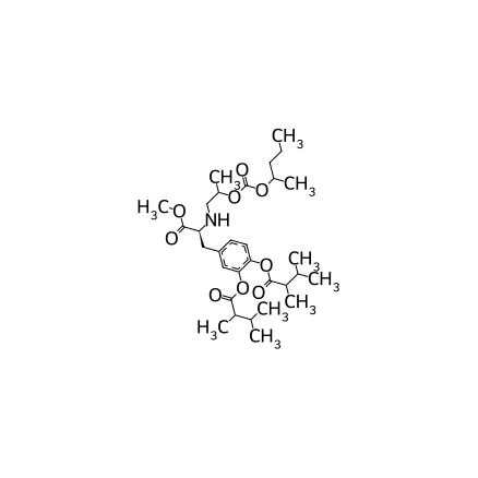 CCCC(C)OC(=O)OC(C)CN[C@@H](Cc1ccc(OC(=O)C(C)C(C)C)c(OC(=O)C(C)C(C)C)c1)C(=O)OC